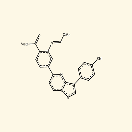 COC=Nc1cc(-c2ccn3ncc(-c4ccc(C#N)cc4)c3n2)ccc1C(=O)OC